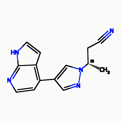 C[C@@H](CC#N)n1cc(-c2ccnc3[nH]ccc23)cn1